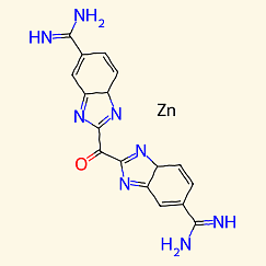 N=C(N)C1=CC2=NC(C(=O)C3=NC4C=CC(C(=N)N)=CC4=N3)=NC2C=C1.[Zn]